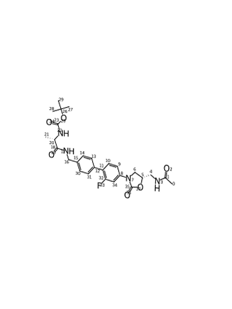 CC(=O)NC[C@H]1CN(c2ccc(-c3ccc(CNC(=O)[C@H](C)NC(=O)OC(C)(C)C)cc3)c(F)c2)C(=O)O1